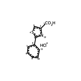 Cl.O=C(O)c1csc(-c2ccccc2)n1